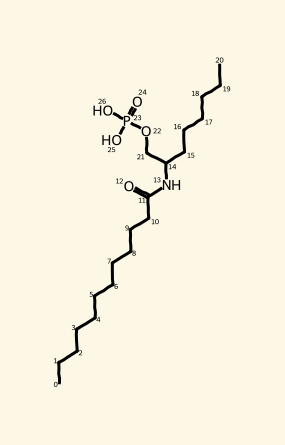 CCCCCCCCCCCC(=O)NC(CCCCCC)COP(=O)(O)O